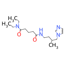 CCN(CC)C(=O)CCCC(=O)NCCC(C)Cn1ccnc1